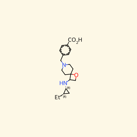 CC[C@@H]1C[C@H]1NC1COC12CCN(Cc1ccc(C(=O)O)cc1)CC2